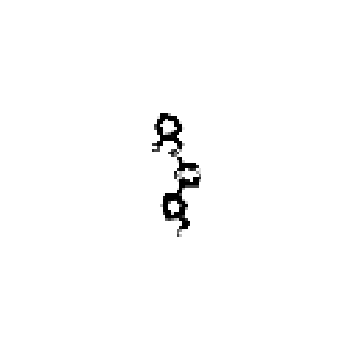 O=Cc1cccc(-c2cncc(NCc3ccccc3Cl)n2)c1